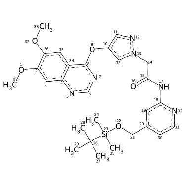 COc1cc2ncnc(Oc3cnn(CC(=O)Nc4cc(CO[Si](C)(C)C(C)(C)C)ccn4)c3)c2cc1OC